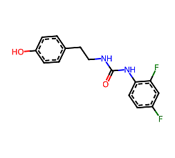 O=C(NCCc1ccc(O)cc1)Nc1ccc(F)cc1F